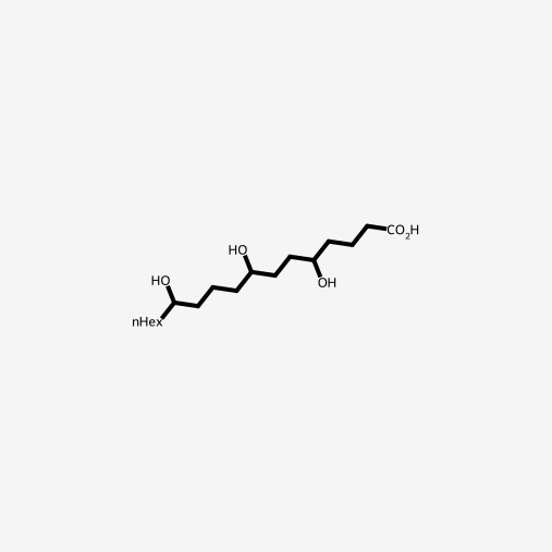 CCCCCCC(O)CCCC(O)CCC(O)CCCC(=O)O